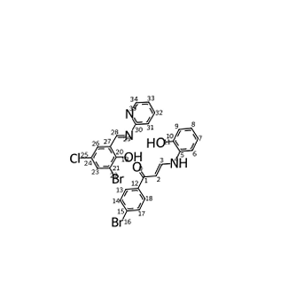 O=C(C=CNc1ccccc1O)c1ccc(Br)cc1.Oc1c(Br)cc(Cl)cc1C=Nc1ccccn1